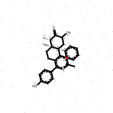 Cc1nc(-c2ccc(O)cc2)c2c(n1)[C@]1(c3ccccc3)CC(C#N)C(=O)[C@@H](C)[C@@H]1CC2